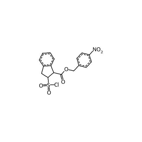 O=C(OCc1ccc([N+](=O)[O-])cc1)C1c2ccccc2CC1S(=O)(=O)Cl